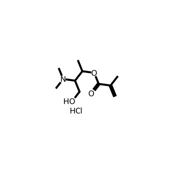 C=C(C)C(=O)OC(C)C(CO)N(C)C.Cl